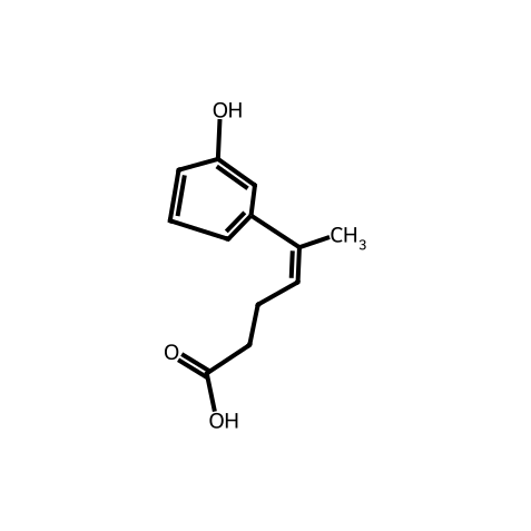 C/C(=C/CCC(=O)O)c1cccc(O)c1